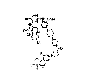 CCc1ccc2c(P(C)(C)=O)c(Nc3nc(Nc4cc(C)c(N5CCC(N6CCN(C(=O)C7CCN(c8cc(F)c(C9CCC(=O)NC9=O)c(F)c8)C7)CC6)CC5)cc4OC)ncc3Br)ccc2n1